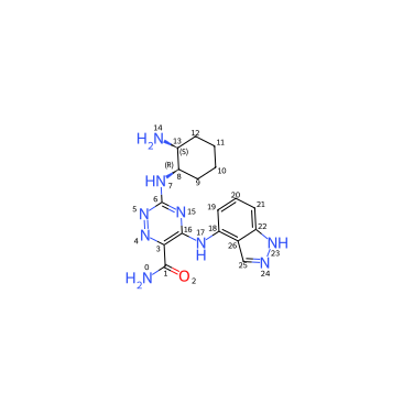 NC(=O)c1nnc(N[C@@H]2CCCC[C@@H]2N)nc1Nc1cccc2[nH]ncc12